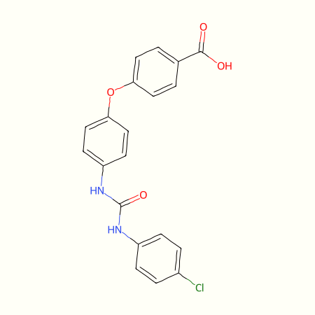 O=C(Nc1ccc(Cl)cc1)Nc1ccc(Oc2ccc(C(=O)O)cc2)cc1